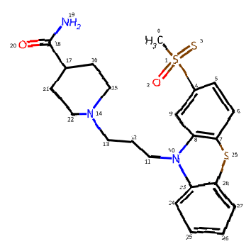 CS(=O)(=S)c1ccc2c(c1)N(CCCN1CCC(C(N)=O)CC1)c1ccccc1S2